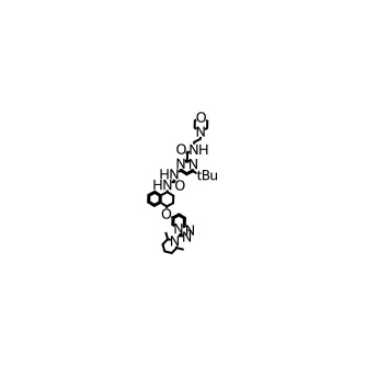 CC1CCCC(C)N1c1nnc2ccc(OC3CCC(NC(=O)Nc4cc(C(C)(C)C)nc(C(=O)NCCN5CCOCC5)n4)c4ccccc43)cn12